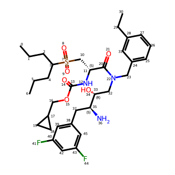 CCCC(CCC)S(=O)(=O)C[C@@H](NC(=O)OCC1CC1)C(=O)N(Cc1cccc(CC)c1)C[C@@H](O)[C@@H](N)Cc1cc(F)cc(F)c1